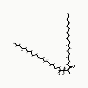 CCCCCCCCCCCCCCCCCC(=O)C(C)C(C)(C)C(=O)CCCCCCCCCCCCCCCCC